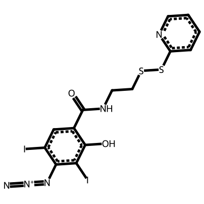 [N-]=[N+]=Nc1c(I)cc(C(=O)NCCSSc2ccccn2)c(O)c1I